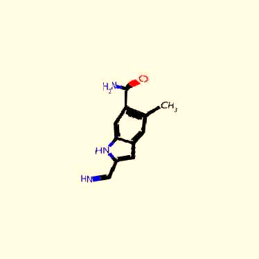 Cc1cc2cc(C=N)[nH]c2cc1C(N)=O